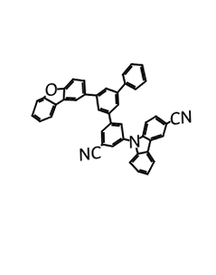 N#Cc1cc(-c2cc(-c3ccccc3)cc(-c3ccc4oc5ccccc5c4c3)c2)cc(-n2c3ccccc3c3cc(C#N)ccc32)c1